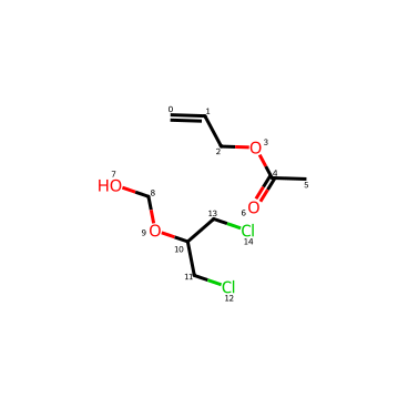 C=CCOC(C)=O.OCOC(CCl)CCl